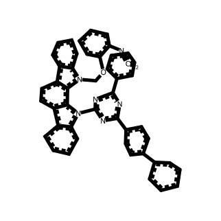 C=Nc1ccccc1OCn1c2ccccc2c2ccc3c4ccccc4n(-c4nc(-c5ccccc5)nc(-c5ccc(-c6ccccc6)cc5)n4)c3c21